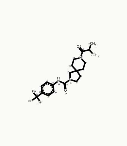 CC(C)C(=O)N1CCC2(CCN(C(=O)Nc3ccc(C(F)(F)F)cc3)C2)CC1